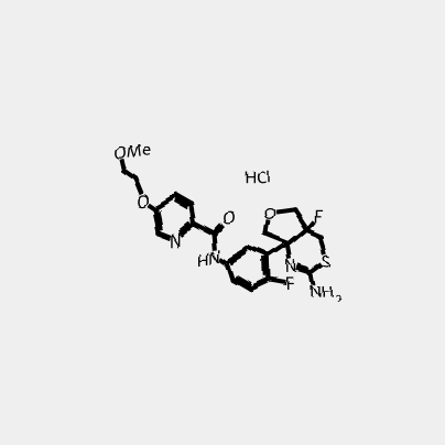 COCCOc1ccc(C(=O)Nc2ccc(F)c(C34COCC3(F)CSC(N)=N4)c2)nc1.Cl